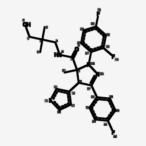 CC(C)(CO)CNC(=O)C1(C)C(c2ccsc2)C(c2ccc(F)cc2)=NN1c1ccc(F)cc1F